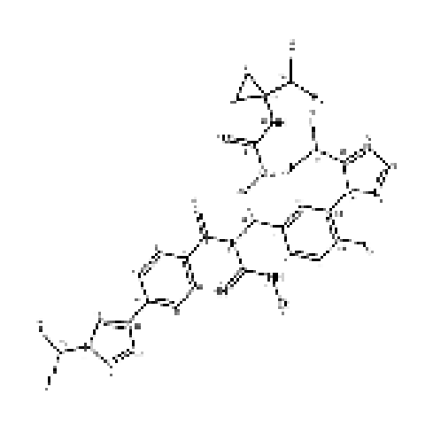 CCNC(=N)N(C(=O)c1ccc(-c2cnn(C(F)F)c2)cc1)[C@H](COC(=O)NC1(C(F)F)CC1)c1ccc(Cl)c(-n2ncnc2C(F)F)c1